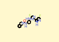 O=C(N[C@H]1CCC[C@@H](Nc2nc(-c3c[nH]c4ncc(F)cc34)ncc2F)C1)N1CCc2ccccc2C1